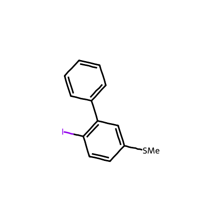 CSc1ccc(I)c(-c2ccccc2)c1